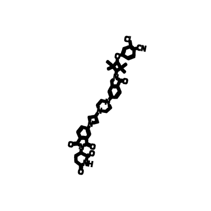 CC1(C)C(Oc2ccc(C#N)c(Cl)c2)C(C)(C)C1N1Cc2cc(N3CCN(C4CN(c5ccc6c(c5)C(=O)N(C5CCC(=O)NC5=O)C6=O)C4)CC3)ccc2C1=O